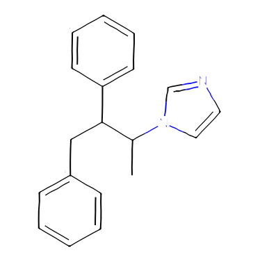 CC(C(Cc1ccccc1)c1ccccc1)n1ccnc1